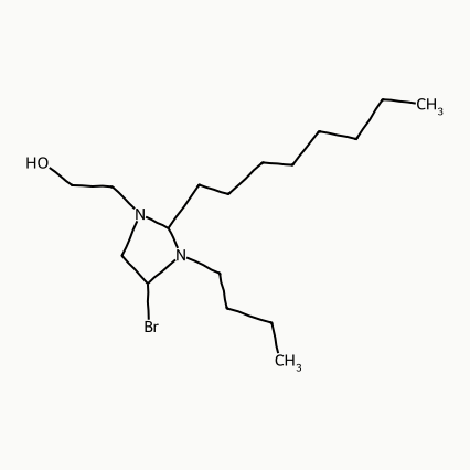 CCCCCCCCC1N(CCO)CC(Br)N1CCCC